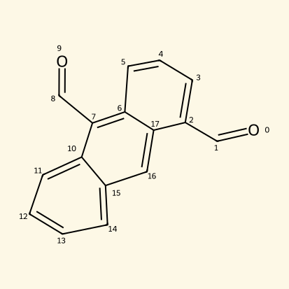 O=Cc1cccc2c(C=O)c3ccccc3cc12